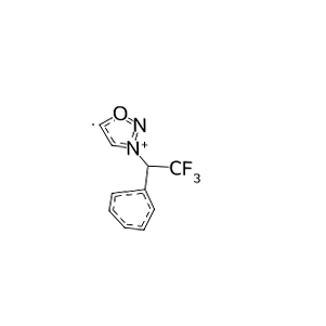 FC(F)(F)C(c1ccccc1)[n+]1c[c]on1